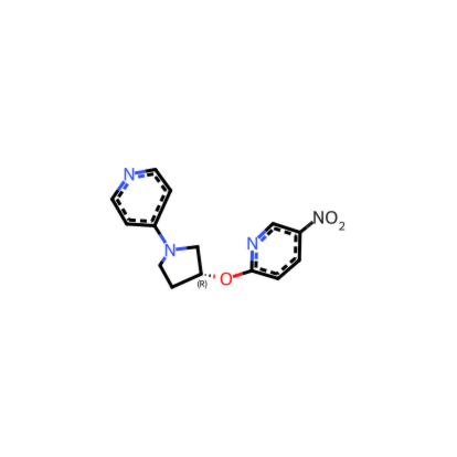 O=[N+]([O-])c1ccc(O[C@@H]2CCN(c3ccncc3)C2)nc1